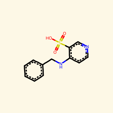 O=S(=O)(O)c1cnccc1NCc1ccccc1